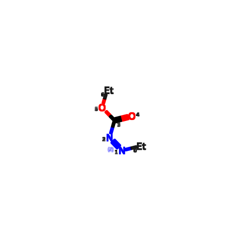 CC/N=N\C(=O)OCC